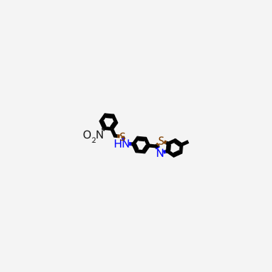 Cc1ccc2nc(-c3ccc(NSCc4ccccc4[N+](=O)[O-])cc3)sc2c1